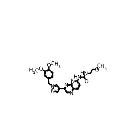 COCCNC(=O)Nc1ccc2ncc(-c3cnn(Cc4ccc(OC)c(OC)c4)c3)nc2n1